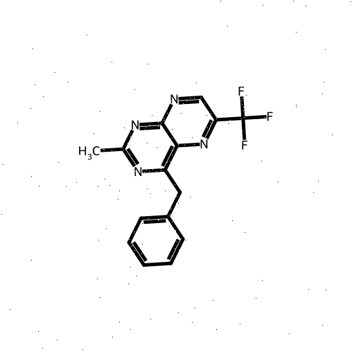 Cc1nc(Cc2ccccc2)c2nc(C(F)(F)F)cnc2n1